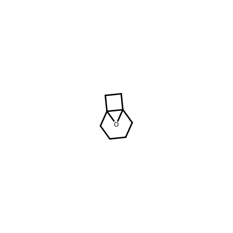 C1CCC23CCC2(C1)O3